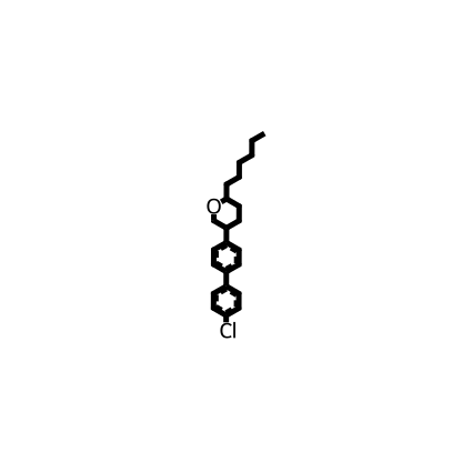 CCCCCCC1CCC(c2ccc(-c3ccc(Cl)cc3)cc2)CO1